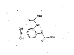 CC(C)(C)C(=O)Nc1ccc(B(O)O)cc1NC(=O)C(C)(C)C